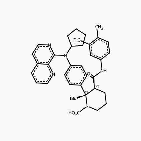 Cc1ccc(NC(=O)[C@H]2CCCN(C(=O)O)[C@@]2(c2ccc(N(c3nccc4cccnc34)C3CCCC3)cc2)C(C)(C)C)cc1C(F)(F)F